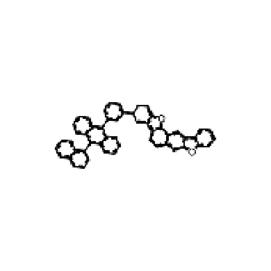 C1=c2oc3c(ccc4cc5oc6ccccc6c5cc43)c2=CC(c2cccc(-c3c4ccccc4c(-c4cccc5ccccc45)c4ccccc34)c2)C1